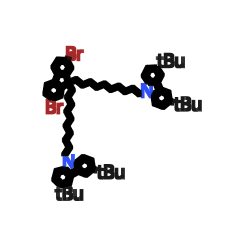 CC(C)(C)c1ccc2c(c1)c1cc(C(C)(C)C)ccc1n2CCCCCCCCCCC1(CCCCCCCCCCn2c3ccc(C(C)(C)C)cc3c3cc(C(C)(C)C)ccc32)c2cc(Br)ccc2-c2ccc(Br)cc21